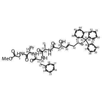 COC(=O)CNC(=O)[C@H](NC(=O)[C@@H](Cc1ccccc1)NC(=O)[C@@H](C)NC(=O)C[C@@H](O)C=CCCSC(c1ccccc1)(c1ccccc1)c1ccccc1)C(C)C